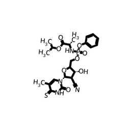 Cc1cn([C@@H]2OC(COP(=O)(N[C@@H](C)C(=O)OC(C)C)Oc3ccccc3)[C@H](O)C2C#N)c(=O)[nH]c1=S